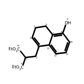 CCOC(=O)C(CC1=CCCc2c(O)cccc21)C(=O)OCC